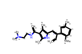 C=C/C(=C\c1[nH]c(C)c(C(=C)NCCN(CC)CC)c1C)c1cc(C)ccc1NC